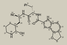 CC(C)C[C@H](NC(=O)c1cc2c3c(ccc2[nH]1)CCO3)C(=O)N[C@H](C#N)C[C@@H]1CCCNC1O